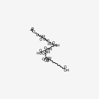 CNC(CCCCNC(=O)[C@H](CCC(=O)O)NC(=O)CC[C@H](NC(=O)CCCCCCCCCCCCC(=O)O)C(=O)O)C(=O)NCCOCCOCC(=O)NCCOCCOCC(C)=O